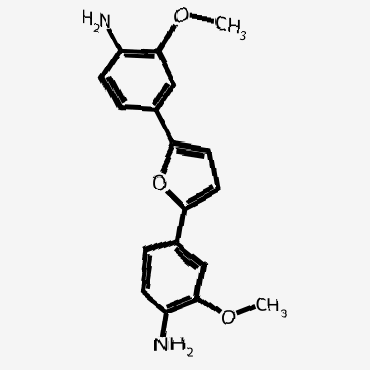 COc1cc(-c2ccc(-c3ccc(N)c(OC)c3)o2)ccc1N